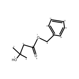 CC(C)(O)CC(=O)OCc1ccccc1